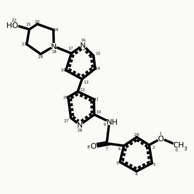 COc1cccc(C(=O)Nc2cc(-c3ccnc(N4CCC(O)CC4)c3)ccn2)c1